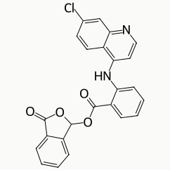 O=C(OC1OC(=O)c2ccccc21)c1ccccc1Nc1ccnc2cc(Cl)ccc12